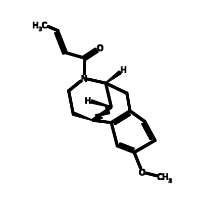 C/C=C/C(=O)N1CC[C@]23CCCC[C@H]2[C@H]1Cc1ccc(OC)cc13